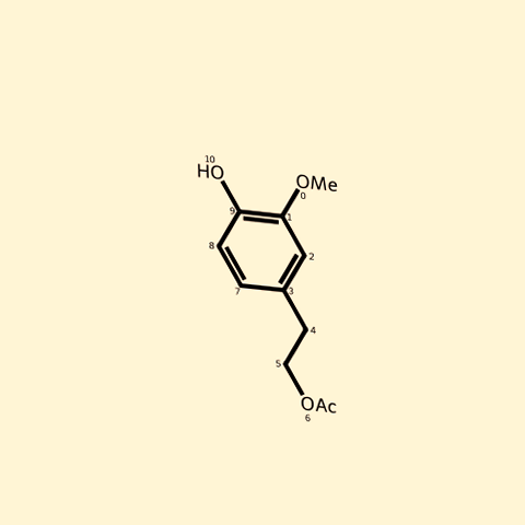 COc1cc(CCOC(C)=O)ccc1O